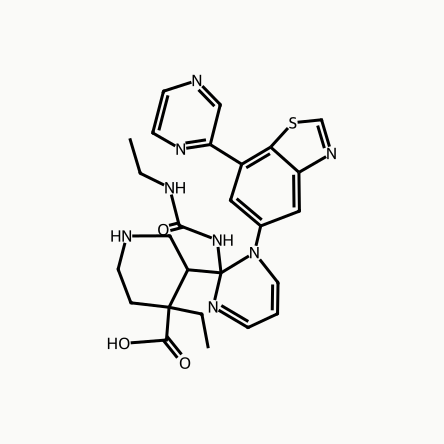 CCNC(=O)NC1(C2CNCCC2(CC)C(=O)O)N=CC=CN1c1cc(-c2cnccn2)c2scnc2c1